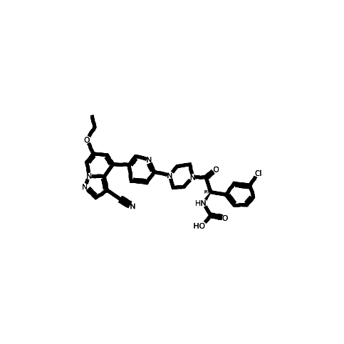 CCOc1cc(-c2ccc(N3CCN(C(=O)[C@H](NC(=O)O)c4cccc(Cl)c4)CC3)nc2)c2c(C#N)cnn2c1